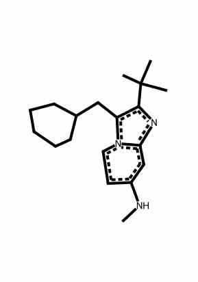 CNc1ccn2c(CC3CCCCC3)c(C(C)(C)C)nc2c1